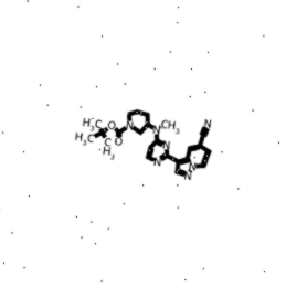 CN(c1ccnc(-c2cnn3ccc(C#N)cc23)n1)C1CCCN(C(=O)OC(C)(C)C)C1